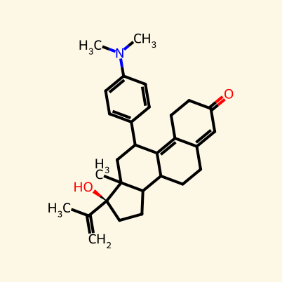 C=C(C)[C@@]1(O)CCC2C3CCC4=CC(=O)CCC4=C3C(c3ccc(N(C)C)cc3)CC21C